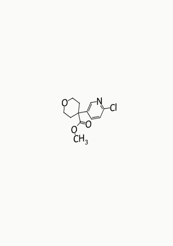 COC(=O)C1(c2ccc(Cl)nc2)CCOCC1